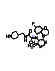 C/C(=N\c1c(C)ncnc1N1CCOc2cc(F)ccc21)C(=O)NCC1CCNCC1